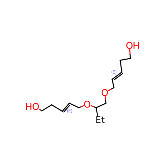 CCC(COC/C=C/CCO)OC/C=C/CCO